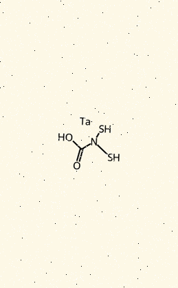 O=C(O)N(S)S.[Ta]